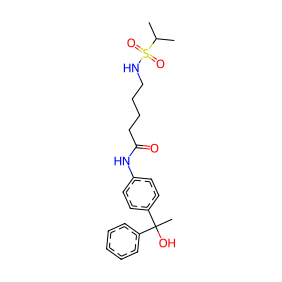 CC(C)S(=O)(=O)NCCCCC(=O)Nc1ccc(C(C)(O)c2ccccc2)cc1